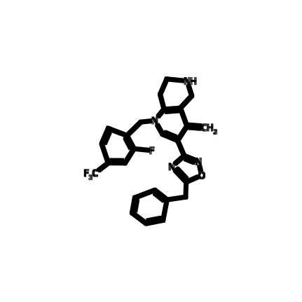 C=C1C(c2noc(Cc3ccccc3)n2)=CN(Cc2ccc(C(F)(F)F)cc2F)C2=C1CNCC2